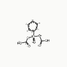 O=C(O)OP(=O)(OC(=O)O)c1ccccc1